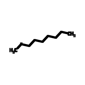 C[C]CCCCCCC